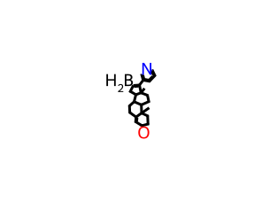 BC1=C(c2cccnc2)C2(C)CCC3C(CCC4=CC(=O)CCC43C)C2C1